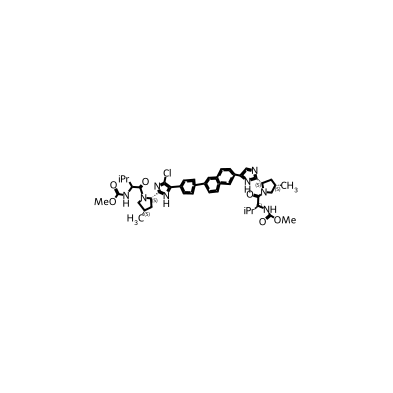 COC(=O)NC(C(=O)N1C[C@@H](C)C[C@H]1c1nc(Cl)c(-c2ccc(-c3ccc4cc(-c5cnc([C@@H]6C[C@H](C)CN6C(=O)[C@@H](NC(=O)OC)C(C)C)[nH]5)ccc4c3)cc2)[nH]1)C(C)C